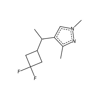 C[C](c1cn(C)nc1C)C1CC(F)(F)C1